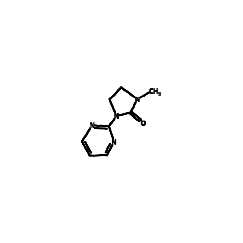 CN1CCN(c2ncccn2)C1=O